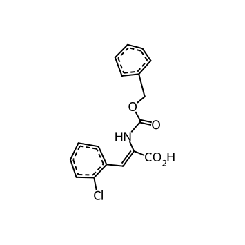 O=C(N/C(=C\c1ccccc1Cl)C(=O)O)OCc1ccccc1